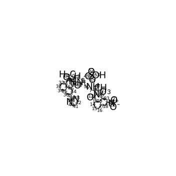 CC(CNCCNCC(C)N1C(=O)c2cccc3cc([N+](=O)[O-])cc(c23)C1=O)N1C(=O)c2cccc3cc(-c4ncccn4)cc(c23)C1=O.CS(=O)(=O)O